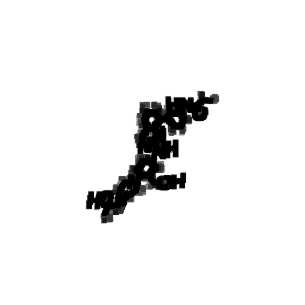 C=CC(=O)Nc1cccc(-c2cccc3cnc(Nc4ccc(N5CCN(CC(C)O)CC5)c(CO)c4)nc23)c1